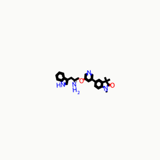 CN1C(=O)C(C)(C)c2cc(-c3cncc(OC[C@H](N)Cc4c[nH]c5ccccc45)c3)ccc21